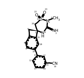 CN1C(=N)N[C@@]2(Cc3ccc(-c4cccc(C#N)c4)cc32)CS1(=O)=O